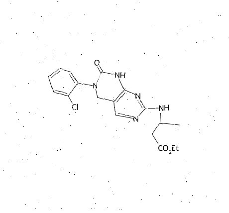 CCOC(=O)CC(C)Nc1ncc2c(n1)NC(=O)N(c1ccccc1Cl)C2